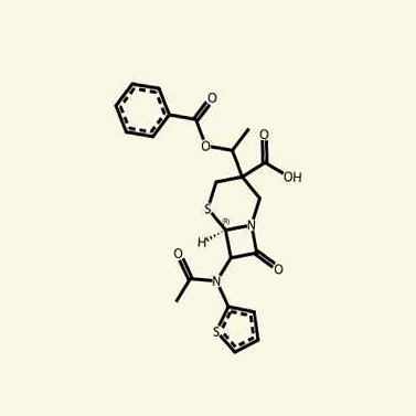 CC(=O)N(c1cccs1)C1C(=O)N2CC(C(=O)O)(C(C)OC(=O)c3ccccc3)CS[C@H]12